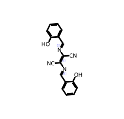 N#CC(/N=C/c1ccccc1O)=C(C#N)\N=C\c1ccccc1O